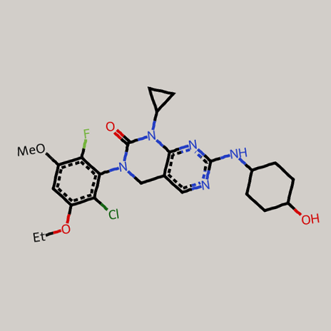 CCOc1cc(OC)c(F)c(N2Cc3cnc(NC4CCC(O)CC4)nc3N(C3CC3)C2=O)c1Cl